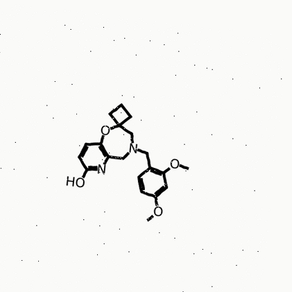 COc1ccc(CN2Cc3nc(O)ccc3OC3(CCC3)C2)c(OC)c1